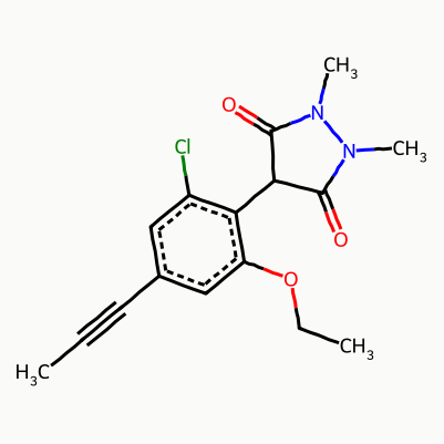 CC#Cc1cc(Cl)c(C2C(=O)N(C)N(C)C2=O)c(OCC)c1